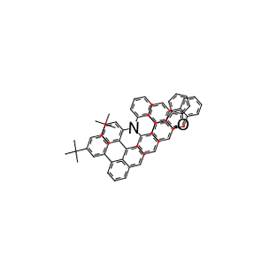 CC(C)(C)c1cc(-c2cccc3cccc(-c4ccccc4N(c4ccccc4-c4cccc5c4ccc4ccccc45)c4ccccc4-c4cccc5oc6ccccc6c45)c23)cc(C(C)(C)C)c1